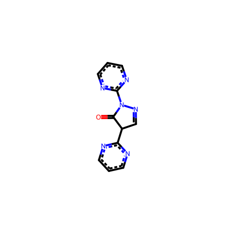 O=C1C(c2ncccn2)C=NN1c1ncccn1